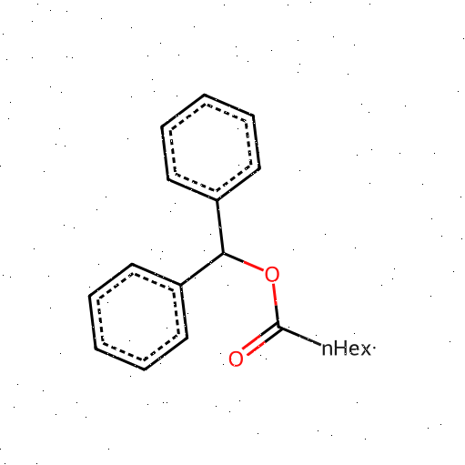 CCCCC[CH]C(=O)OC(c1ccccc1)c1ccccc1